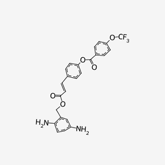 Nc1ccc(N)c(COC(=O)C=Cc2ccc(OC(=O)c3ccc(OC(F)(F)F)cc3)cc2)c1